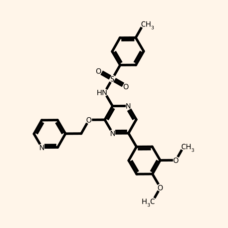 COc1ccc(-c2cnc(NS(=O)(=O)c3ccc(C)cc3)c(OCc3cccnc3)n2)cc1OC